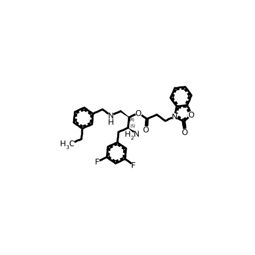 CCc1cccc(CNC[C@@H](OC(=O)CCn2c(=O)oc3ccccc32)[C@@H](N)Cc2cc(F)cc(F)c2)c1